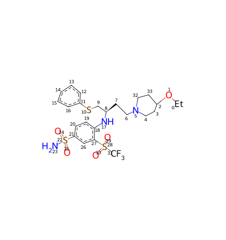 CCOC1CCN(CC[C@H](CSc2ccccc2)Nc2ccc(S(N)(=O)=O)cc2S(=O)(=O)C(F)(F)F)CC1